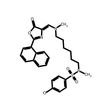 CN(C=C1N=C(c2cccc3ccccc23)OC1=O)CCCCCCN(C)S(=O)(=O)c1ccc(Cl)cc1